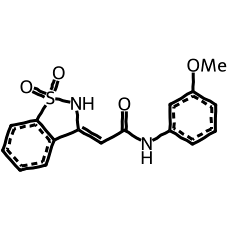 COc1cccc(NC(=O)C=C2NS(=O)(=O)c3ccccc32)c1